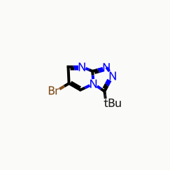 CC(C)(C)c1nnc2ncc(Br)cn12